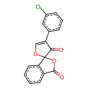 O=C1OC2(OC=C(c3cccc(Cl)c3)C2=O)c2ccccc21